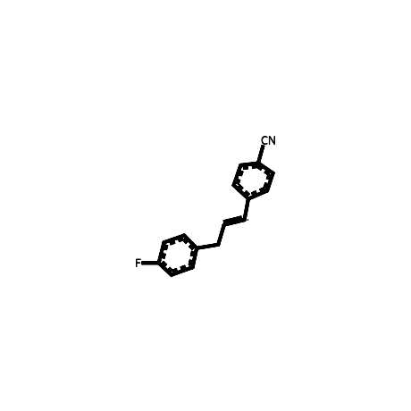 N#Cc1ccc([C]=CCc2ccc(F)cc2)cc1